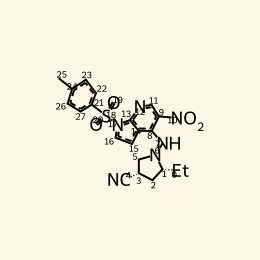 CC[C@@H]1C[C@H](C#N)CN1Nc1c([N+](=O)[O-])cnc2c1ccn2S(=O)(=O)c1ccc(C)cc1